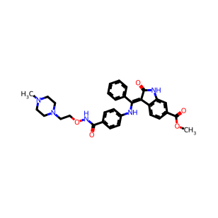 COC(=O)c1ccc2c(c1)NC(=O)C2=C(Nc1ccc(C(=O)NOCCN2CCN(C)CC2)cc1)c1ccccc1